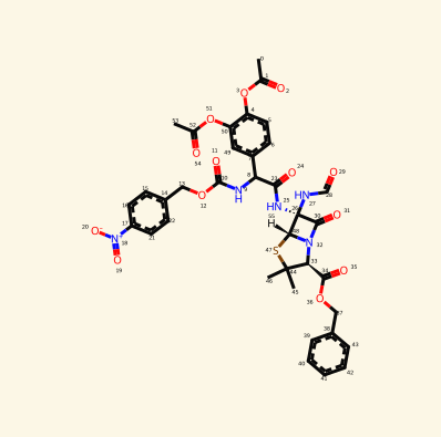 CC(=O)Oc1ccc(C(NC(=O)OCc2ccc([N+](=O)[O-])cc2)C(=O)N[C@]2(NC=O)C(=O)N3[C@@H](C(=O)OCc4ccccc4)C(C)(C)S[C@@H]32)cc1OC(C)=O